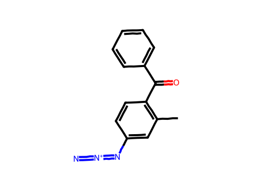 Cc1cc(N=[N+]=[N-])ccc1C(=O)c1ccccc1